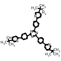 CC(C)(C)c1ccc(-c2ccc(-c3nc(-c4ccc(-c5ccc(C(C)(C)C)cn5)cc4)nc(-c4ccc(-c5ccc(C(C)(C)C)cn5)cc4)n3)cc2)nc1